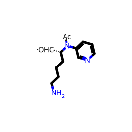 CC(=O)N(c1cccnc1)[C@@H]([C]=O)CCCCN